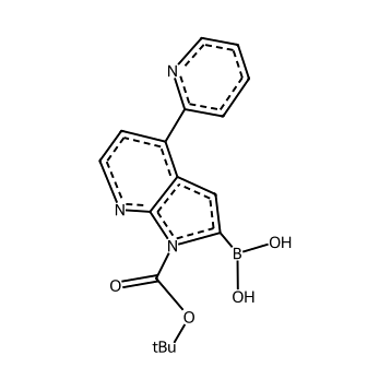 CC(C)(C)OC(=O)n1c(B(O)O)cc2c(-c3ccccn3)ccnc21